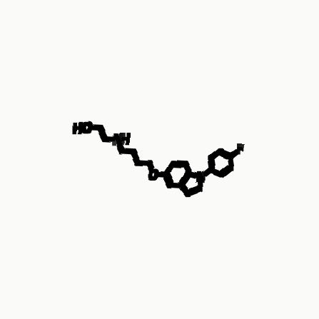 OCCNCCCCOc1ccc2c(ccn2-c2ccc(F)cc2)c1